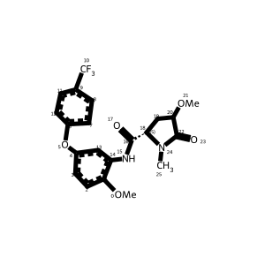 COc1ccc(Oc2ccc(C(F)(F)F)cc2)cc1NC(=O)[C@@H]1CC(OC)C(=O)N1C